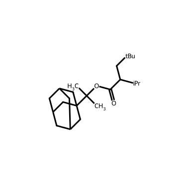 CC(C)C(CC(C)(C)C)C(=O)OC(C)(C)C12CC3CC(CC(C3)C1)C2